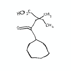 CC(C)(C(=O)O)C(=O)C1CCCCC1